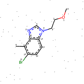 COCCn1cnc2c(C)c(Br)ccc21